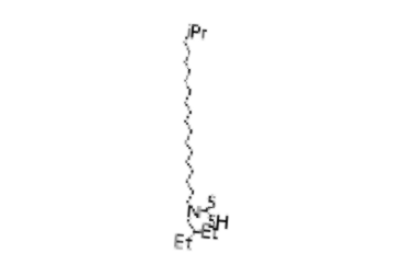 CCC(CC)CN(CCCCCCCCCCCCCCCCCC(C)C)C(=S)S